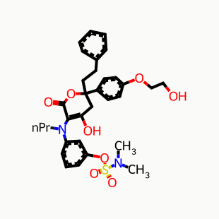 CCCN(C1=C(O)CC(CCc2ccccc2)(c2ccc(OCCO)cc2)OC1=O)c1cccc(OS(=O)(=O)N(C)C)c1